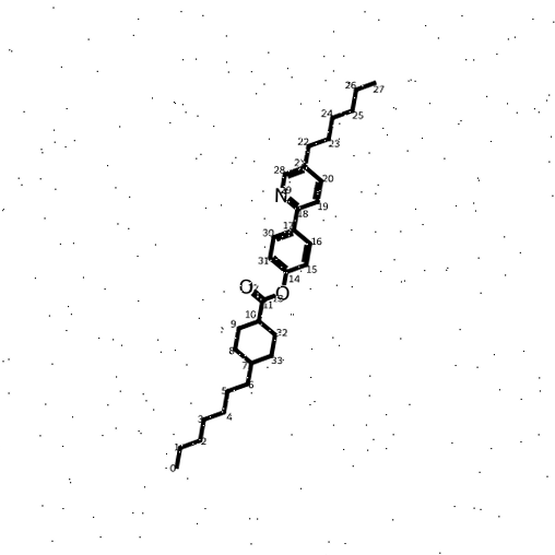 CCCCCCCC1CCC(C(=O)Oc2ccc(-c3ccc(CCCCCC)cn3)cc2)CC1